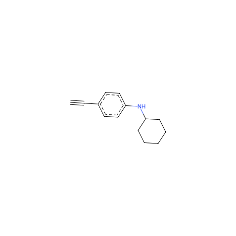 C#Cc1ccc(NC2CCCCC2)cc1